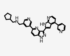 c1cncc(-c2ccnc3[nH]c(-c4n[nH]c5ccc(-c6cncc(CNCC7CCCC7)c6)nc45)cc23)c1